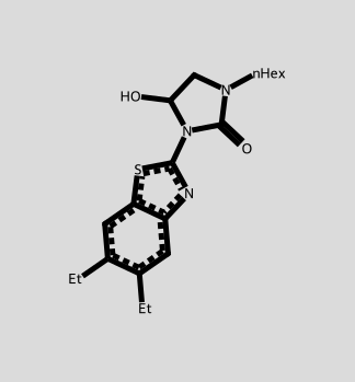 CCCCCCN1CC(O)N(c2nc3cc(CC)c(CC)cc3s2)C1=O